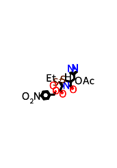 CC[S+]([O-])C1=C(C(=O)OCc2ccc([N+](=O)[O-])cc2)N2C(=O)C(C(OC(C)=O)c3cnn(C)c3)[C@H]2S1